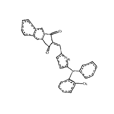 N#Cc1ccccc1N(c1ccccc1)c1ccc(C=C2C(=O)c3cc4ccccc4cc3C2=O)[se]1